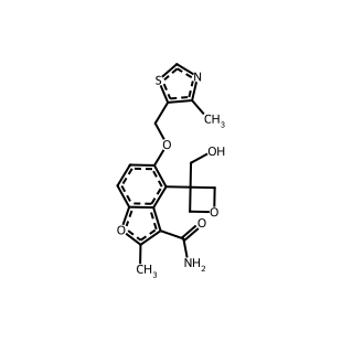 Cc1ncsc1COc1ccc2oc(C)c(C(N)=O)c2c1C1(CO)COC1